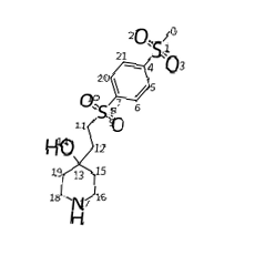 CS(=O)(=O)c1ccc(S(=O)(=O)CCC2(O)CCNCC2)cc1